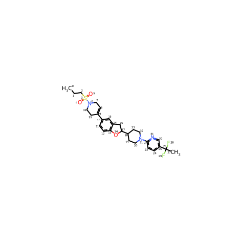 CCCS(=O)(=O)N1CC=C(c2ccc3c(c2)CC(C2CCN(c4ccc(C(C)(F)F)cn4)CC2)O3)CC1